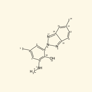 CBc1cc(I)cc(-n2nc3ccc(I)cc3n2)c1O